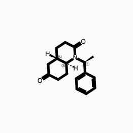 C[C@@H](c1ccccc1)N1C(=O)CC[C@H]2CC(=O)CC[C@@H]21